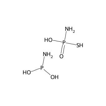 NP(=O)(O)S.NP(O)O